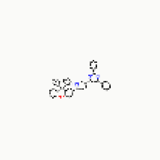 C1=C(c2ccc3c(c2)C2(c4ccccc4O3)c3ccccc3-c3ccccc32)NCC(c2cc(-c3ccccc3)nc(-c3ccccc3)n2)=C1